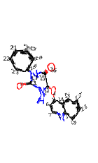 O=C1NC(Oc2ccnc3ccccc23)C(=O)N1c1ccccc1